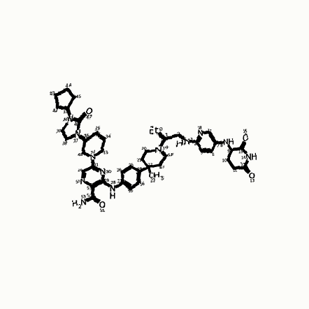 CCC(CNc1ccc(NC2CCC(=O)NC2=O)cn1)N1CCC(C)(c2ccc(Nc3nc(N4CCCC(N5CCN(C6CCCC6)C5=O)C4)cnc3C(N)=O)cc2)CC1